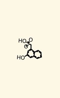 O=S(=O)(O)Cc1cc(O)cc2ccccc12